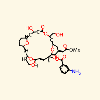 COC(=O)/C=C1\CC2CC(CO)OC(=O)C[C@H](O)C[C@@H]3CCC[C@H](C[C@@H]4CCO[C@H](/C=C/C(C)(C)[C@](O)(O2)[C@H]1OC(=O)c1cccc(N)c1)O4)O3